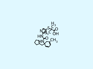 CC1=CC=CC(CC2CCCC2)(NC(=O)Nc2ncc(SC(C)(C)C(=O)O)s2)C1